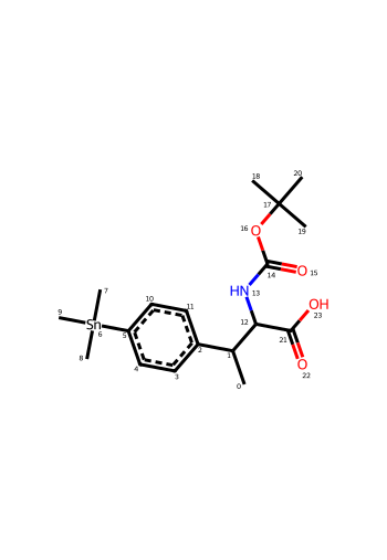 CC(c1cc[c]([Sn]([CH3])([CH3])[CH3])cc1)C(NC(=O)OC(C)(C)C)C(=O)O